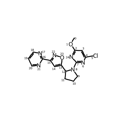 COc1cc(Cl)nc(N2CCCC2c2cc(-c3ncccn3)no2)n1